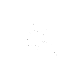 CCOc1cc(O)cc(F)c1C(F)(F)F